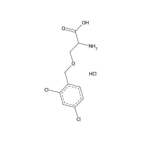 Cl.NC(COCc1ccc(Cl)cc1Cl)C(=O)O